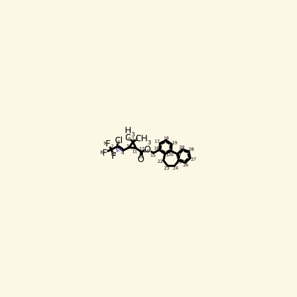 CC1(C)C(/C=C(\Cl)C(F)(F)F)C1C(=O)OCc1cccc2c1CCCc1ccccc1-2